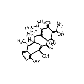 C[C@H]1c2cccc(O)c2C(O)=C2C(=P)[C@]3(O)C(=O)/C(=C(/N)O)C(=O)[C@@H](N(C)C)[C@@H]3[C@@H](O)[C@@H]21